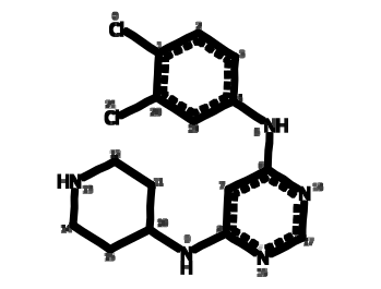 Clc1ccc(Nc2cc(NC3CCNCC3)ncn2)cc1Cl